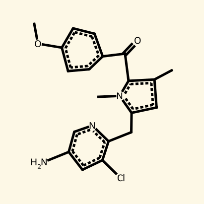 COc1ccc(C(=O)c2c(C)cc(Cc3ncc(N)cc3Cl)n2C)cc1